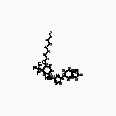 CCCCCCCCOc1ccc(Nc2nc(-c3ccc4nccn4c3)cs2)cc1C(F)(F)F